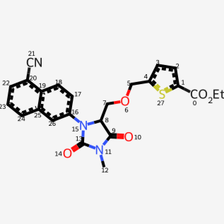 CCOC(=O)c1ccc(COCC2C(=O)N(C)C(=O)N2c2ccc3c(C#N)cccc3c2)s1